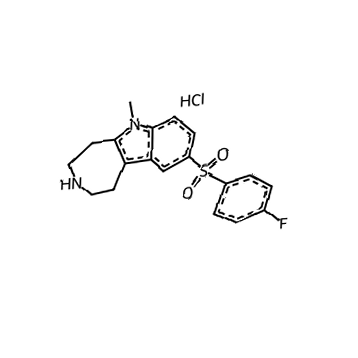 Cl.Cn1c2c(c3cc(S(=O)(=O)c4ccc(F)cc4)ccc31)CCNCC2